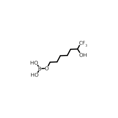 OB(O)OCCCCCC(O)C(F)(F)F